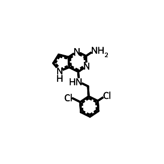 Nc1nc(NCc2c(Cl)cccc2Cl)c2[nH]ccc2n1